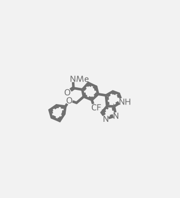 CNC(=O)c1ccc(-c2cc[nH]c3nncc2-3)c(C(F)(F)F)c1COc1ccccc1